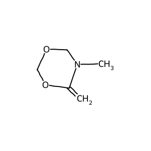 C=C1OCOCN1C